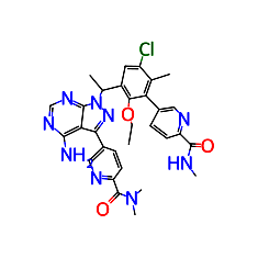 CCOc1c(C(C)n2nc(-c3ccc(C(=O)N(C)C)nc3)c3c(N)ncnc32)cc(Cl)c(C)c1-c1ccc(C(=O)NC)nc1